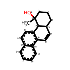 CC1(O)CCCC2C=Cc3c(ccc4ccccc34)C21